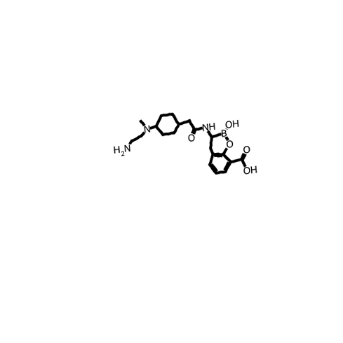 CN(CCN)C1CCC(CC(=O)NC2Cc3cccc(C(=O)O)c3OB2O)CC1